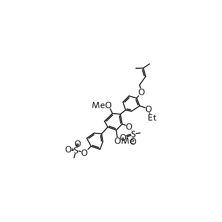 CCOc1cc(-c2c(OC)cc(-c3ccc(OS(C)(=O)=O)cc3)c(OC)c2OS(C)(=O)=O)ccc1OCC=C(C)C